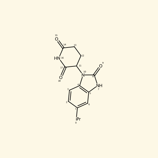 CC(C)c1ccc2c(c1)[nH]c(=O)n2C1CCC(=O)NC1=O